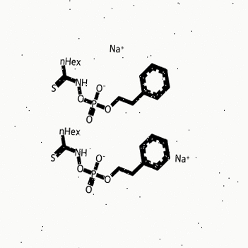 CCCCCCC(=S)NOP(=O)([O-])OCCc1ccccc1.CCCCCCC(=S)NOP(=O)([O-])OCCc1ccccc1.[Na+].[Na+]